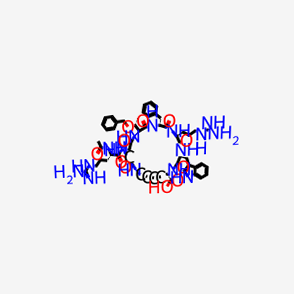 CC(=O)N[C@@H](CCCNC(=N)N)C(=O)N[C@H]1CC(=O)NCCCC[C@@H](C(=O)O)NC(=O)[C@H](Cc2c[nH]c3ccccc23)NC(=O)[C@H](CCCNC(=N)N)NC(=O)[C@@H](Cc2ccccc2)NC(=O)[C@H]([C@@H](C)OCc2ccccc2)NC1=O